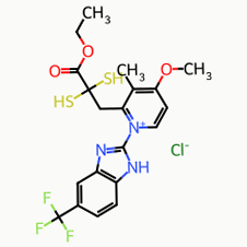 CCOC(=O)C(S)(S)Cc1c(C)c(OC)cc[n+]1-c1nc2cc(C(F)(F)F)ccc2[nH]1.[Cl-]